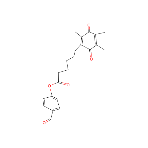 CC1=C(C)C(=O)C(CCCCCC(=O)Oc2ccc(C=O)cc2)=C(C)C1=O